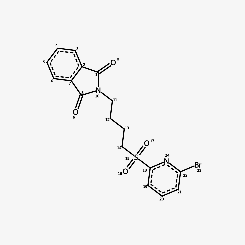 O=C1c2ccccc2C(=O)N1CCCCS(=O)(=O)c1cccc(Br)n1